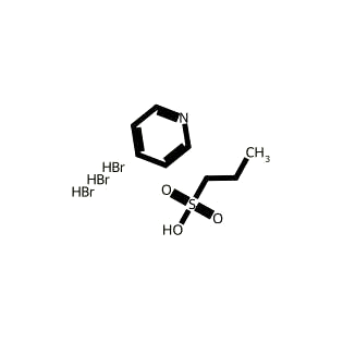 Br.Br.Br.CCCS(=O)(=O)O.c1ccncc1